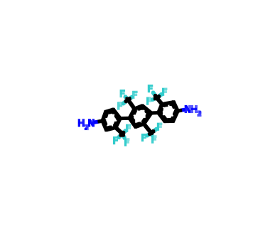 Nc1ccc(-c2cc(C(F)(F)F)c(-c3ccc(N)cc3C(F)(F)F)cc2C(F)(F)F)c(C(F)(F)F)c1